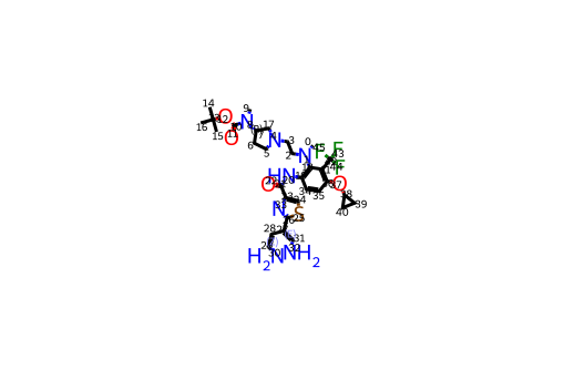 CN(CCN1CC[C@@H](N(C)C(=O)OC(C)(C)C)C1)c1c(NC(=O)c2csc(C(/C=C\N)=C/N)n2)ccc(OC2CC2)c1C(F)(F)F